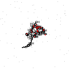 CCCCCOc1ccc(S(=O)(=O)NCCCCNCC2[C@H](O)C3C4C[C@H](CC[C@H]4O)[C@H]4NC(=O)[C@@H]5NC(=O)[C@H](CC(N)=O)NC(=O)[C@H](NC(=O)[C@@H](CC(C)C)NC)[C@H](O)[C@H]6CC[C@@H](Oc7cc5cc(c7O[C@@H]5C[C@H](CO)[C@@H](O)[C@H](O)[C@H]5O[C@H]5C[C@](C)(N)[C@H](O)[C@H](C)O5)O[C@@H]5CC[C@@H](C[C@@H]5Cl)[C@@H](O)[C@H](NC4=O)C(=O)N[C@H](C(=O)NC4C5CC7CC(C5)CC4C7)C3C[C@@H]2O)[C@H](Cl)C6)cc1